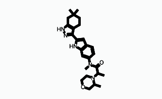 CC1COCCN1C(C)C(=O)N(C)c1ccc2cc(-c3n[nH]c4c3CCC(C)(C)C4)[nH]c2c1